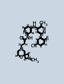 Cc1nnc(-c2cc(Cl)ccc2F)cc1Nc1ccnc(NC(=O)CCN2CCOC3(CN(C)C3)C2)c1